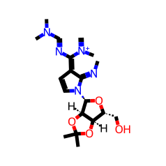 C=[N+](C)C(/N=C/N(C)C)=C1/C=CN([C@@H]2O[C@H](CO)[C@H]3OC(C)(C)O[C@H]32)/C1=N/C